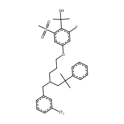 CC(C)(O)c1c(F)cc(OCCCN(Cc2cccc(C(F)(F)F)c2)CC(C)(C)c2ccccc2)cc1S(C)(=O)=O